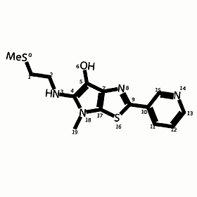 CSCCNc1c(O)c2nc(-c3cccnc3)sc2n1C